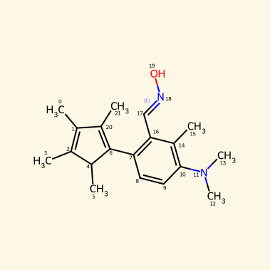 CC1=C(C)C(C)C(c2ccc(N(C)C)c(C)c2/C=N/O)=C1C